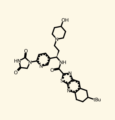 CC(C)(C)C1CCc2nc3sc(C(=O)N[C@H](CCN4CCC(O)CC4)c4ccc(N5CC(=O)NC5=O)nc4)nc3cc2C1